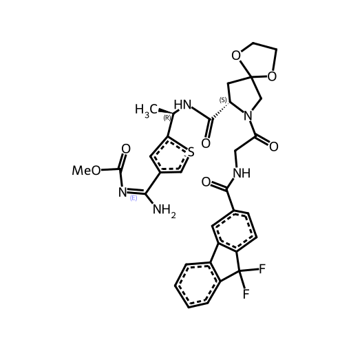 COC(=O)/N=C(/N)c1csc([C@@H](C)NC(=O)[C@@H]2CC3(CN2C(=O)CNC(=O)c2ccc4c(c2)-c2ccccc2C4(F)F)OCCO3)c1